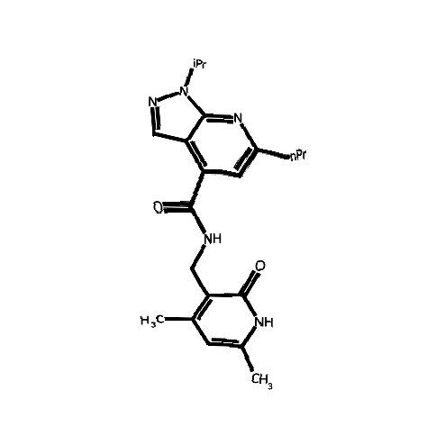 CCCc1cc(C(=O)NCc2c(C)cc(C)[nH]c2=O)c2cnn(C(C)C)c2n1